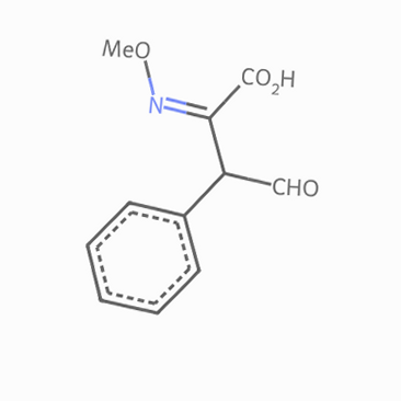 CON=C(C(=O)O)C(C=O)c1ccccc1